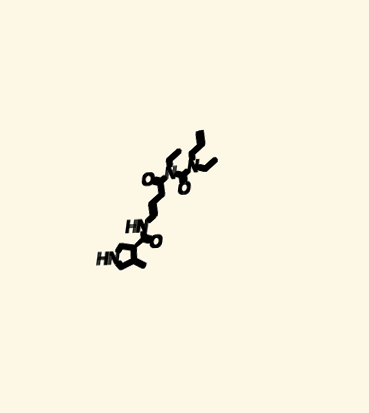 C=CCN(CC)C(=O)N(CC)C(=O)C/C=C/NC(=O)[C@@H]1CNCC1C